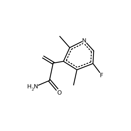 C=C(C(N)=O)c1c(C)ncc(F)c1C